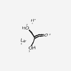 O=C(O)O.[H+].[La]